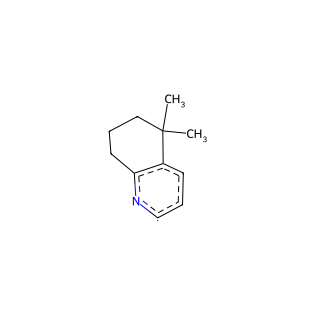 CC1(C)CCCc2n[c]ccc21